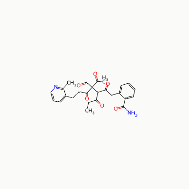 CCC(=O)C(C(=O)Cc1ccccc1C(N)=O)C([C]=O)(C(C)=O)C(=O)CCc1cccnc1C